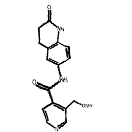 COCc1cnccc1C(=O)Nc1ccc2c(c1)CCC(=O)N2